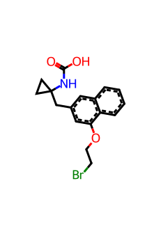 O=C(O)NC1(Cc2cc(OCCBr)c3ccccc3c2)CC1